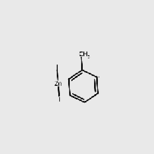 Cc1[c]cccc1.[I][Zn][I]